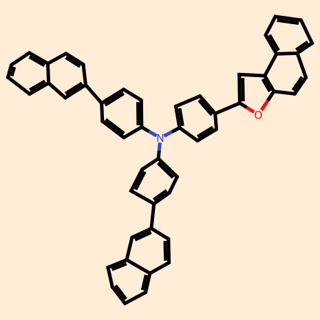 c1ccc2cc(-c3ccc(N(c4ccc(-c5ccc6ccccc6c5)cc4)c4ccc(-c5cc6c(ccc7ccccc76)o5)cc4)cc3)ccc2c1